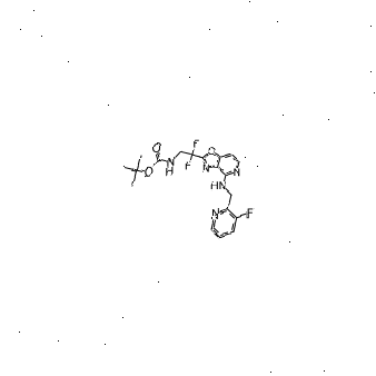 CC(C)(C)OC(=O)NCC(F)(F)c1nc2c(NCc3ncccc3F)nccc2o1